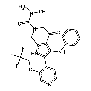 CN(C)C(=O)N1CC(=O)c2c([nH]c(-c3ccncc3OCC(F)(F)F)c2Nc2ccccc2)C1